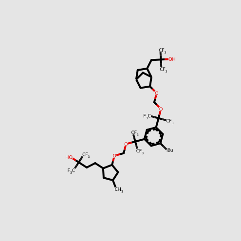 CCC(C)c1cc(C(OCOC2CC(C)CC2CCC(O)(C(F)(F)F)C(F)(F)F)(C(F)(F)F)C(F)(F)F)cc(C(OCOC2CC3CC(CC(O)(C(F)(F)F)C(F)(F)F)C2C3)(C(F)(F)F)C(F)(F)F)c1